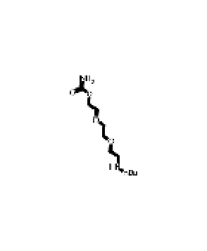 CCCCNCCOCCOCCOC(N)=O